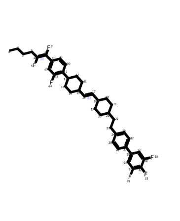 CCCC/C(F)=C(\F)c1ccc(C2CCC(/C=C/C3CCC(CCc4ccc(-c5cc(F)c(F)c(F)c5)cc4)CC3)CC2)c(F)c1